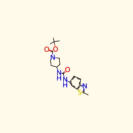 Cc1nc2ccc(NC(=O)NC3CCN(C(=O)OC(C)(C)C)CC3)cc2s1